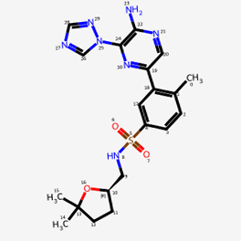 Cc1ccc(S(=O)(=O)NC[C@H]2CCC(C)(C)O2)cc1-c1cnc(N)c(-n2cncn2)n1